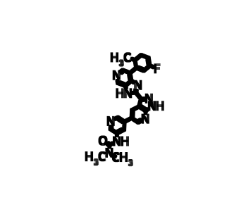 CC1CC=C(F)C=C1c1cncc2[nH]c(-c3n[nH]c4ncc(-c5cncc(NC(=O)N(C)C)c5)cc34)nc12